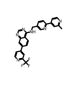 Cc1cc(-c2ccc(CNc3ncnc4cc(-c5ccnc(C(F)(F)F)c5)ccc34)cn2)ccn1